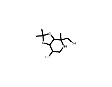 CC1(C)OC2C(O)CNC(C)(CO)C2O1